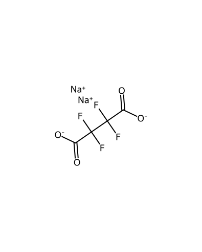 O=C([O-])C(F)(F)C(F)(F)C(=O)[O-].[Na+].[Na+]